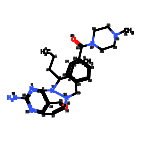 CCCC(CCC)N1c2nc(N)nc(c2C=O)C=CN1Cc1ccc(C(=O)N2CCN(C)CC2)cc1